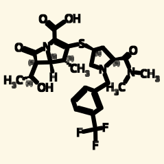 C[C@@H](O)[C@H]1C(=O)N2C(C(=O)O)=C(S[C@H]3C[C@@H](C(=O)N(C)C)N(Cc4cccc(C(F)(F)F)c4)C3)[C@H](C)[C@H]12